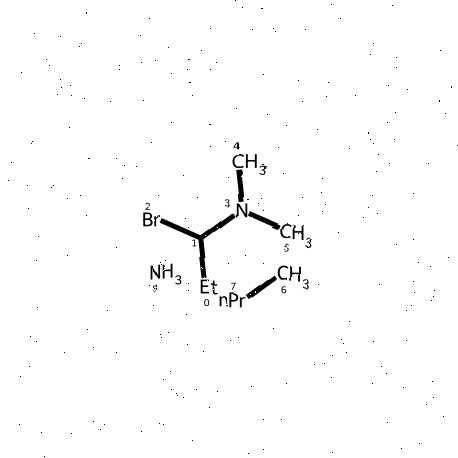 CCC(Br)N(C)C.CCCC.N